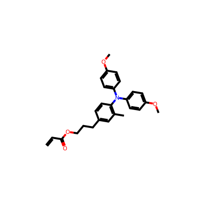 C=CC(=O)OCCCc1ccc(N(c2ccc(OC)cc2)c2ccc(OC)cc2)c(C)c1